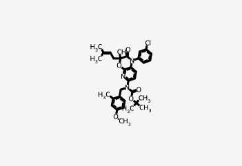 COc1ccc(CN(C(=O)OC(C)(C)C)c2ccc3c(n2)OC(C)(CC=C(C)C)C(=O)N3c2cccc(Cl)c2)c(C)c1